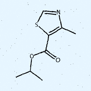 Cc1ncsc1C(=O)OC(C)C